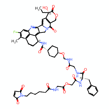 CC[C@@]1(O)C(=O)OCc2c1cc1n(c2=O)Cc2c-1nc1cc(F)c(C)c3c1c2[C@@H](NC(=O)[C@H]1CC[C@H](OCNC(=O)CNC(=O)[C@H](Cc2ccccc2)NC(=O)COC(=O)CNC(=O)CCCCCN2C(=O)C=CC2=O)CC1)CC3